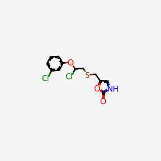 O=c1[nH]cc(CSCC(Cl)Oc2cccc(Cl)c2)o1